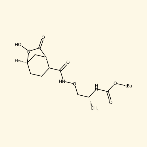 C[C@H](CONC(=O)C1CC[C@@H]2CN1C(=O)N2O)NC(=O)OC(C)(C)C